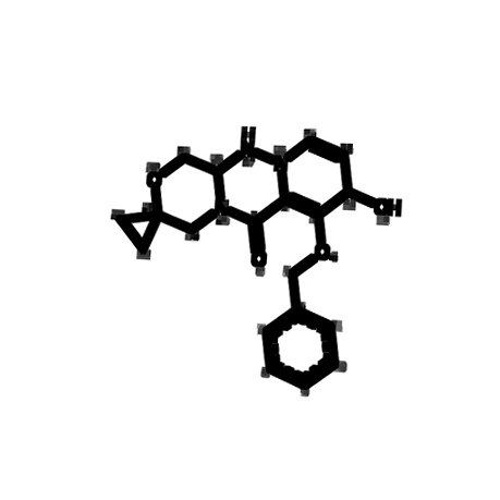 O=C1C2=C(OCc3ccccc3)C(O)C=CN2NC2COC3(CC3)CN12